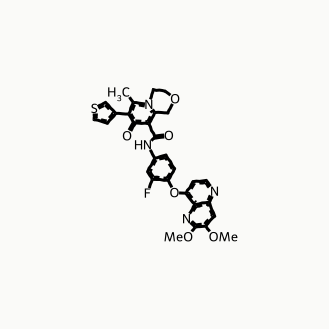 COc1cc2nccc(Oc3ccc(NC(=O)c4c5n(c(C)c(-c6ccsc6)c4=O)CCOC5)cc3F)c2nc1OC